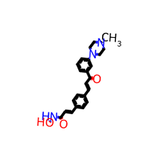 CN1CCN(c2cccc(C(=O)C=Cc3ccc(C=CC(=O)NO)cc3)c2)CC1